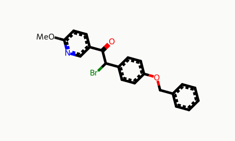 COc1ccc(C(=O)C(Br)c2ccc(OCc3ccccc3)cc2)cn1